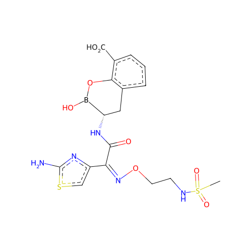 CS(=O)(=O)NCCO/N=C(\C(=O)N[C@H]1Cc2cccc(C(=O)O)c2OB1O)c1csc(N)n1